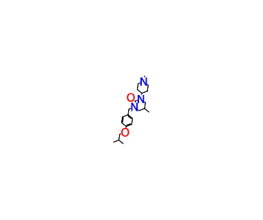 CC(C)COc1ccc(CN2CC(C)CN(C3CCN(C)CC3)C2=O)cc1